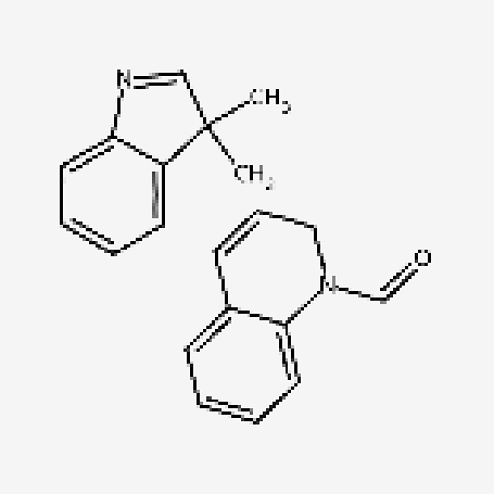 CC1(C)C=Nc2ccccc21.O=CN1CC=Cc2ccccc21